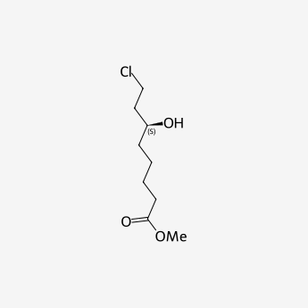 COC(=O)CCCC[C@H](O)CCCl